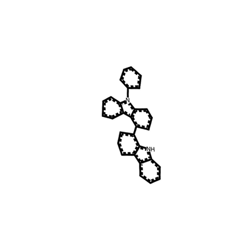 c1ccc(-n2c3ccccc3c3c(-c4cccc5c4[nH]c4ccccc45)cccc32)cc1